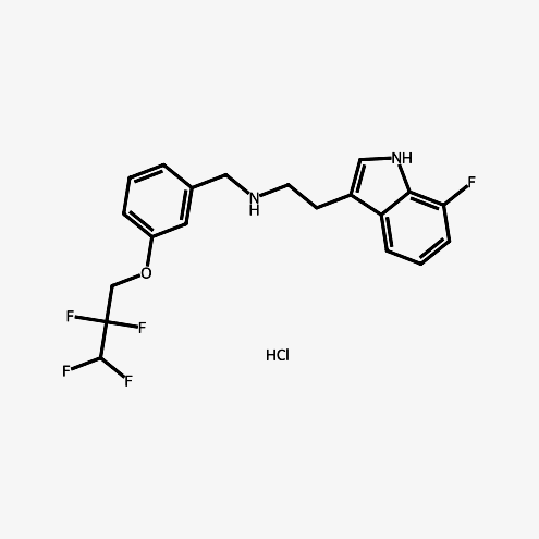 Cl.Fc1cccc2c(CCNCc3cccc(OCC(F)(F)C(F)F)c3)c[nH]c12